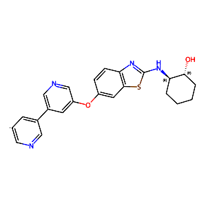 O[C@@H]1CCCC[C@H]1Nc1nc2ccc(Oc3cncc(-c4c[c]cnc4)c3)cc2s1